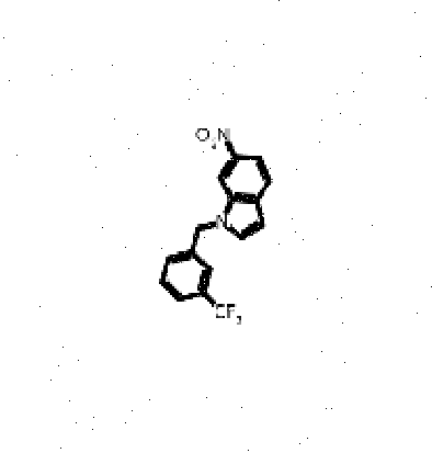 O=[N+]([O-])c1ccc2ccn(Cc3cccc(C(F)(F)F)c3)c2c1